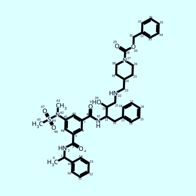 CC(NC(=O)c1cc(C(=O)NC(Cc2ccccc2)C(O)CNCC2CCN(C(=O)OCc3ccccc3)CC2)cc(N(C)S(C)(=O)=O)c1)c1ccccc1